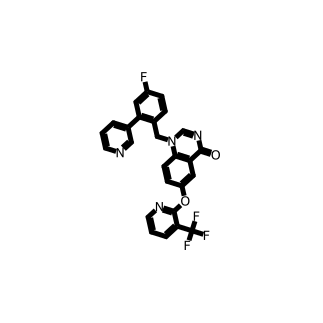 O=c1ncn(Cc2ccc(F)cc2-c2cccnc2)c2ccc(Oc3ncccc3C(F)(F)F)cc12